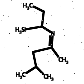 CCC([SiH3])N=C(C)CC(C)C